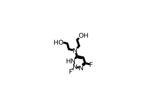 OCCN(CCO)C1=CC(F)=NN(F)N1